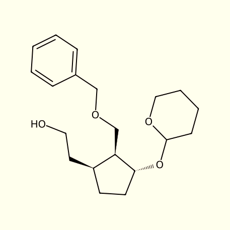 OCC[C@@H]1CC[C@@H](OC2CCCCO2)[C@@H]1COCc1ccccc1